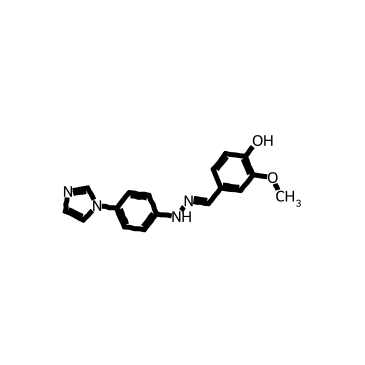 COc1cc(C=NNc2ccc(-n3ccnc3)cc2)ccc1O